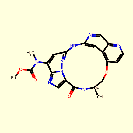 C[C@@H]1COc2ccnc3cnc(cc23)Nc2cc(N(C)C(=O)OC(C)(C)C)c3ncc(n3n2)C(=O)N1